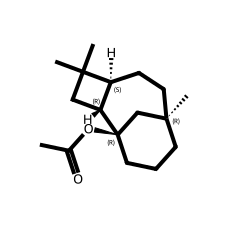 CC(=O)O[C@@]12CCC[C@](C)(CC[C@H]3[C@H]1CC3(C)C)C2